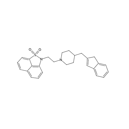 O=S1(=O)c2cccc3cccc(c23)N1CCN1CCC(CC2=Cc3ccccc3C2)CC1